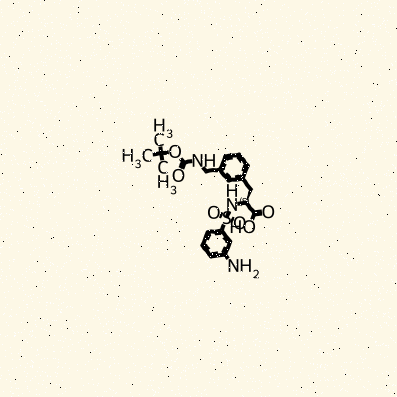 CC(C)(C)OC(=O)NCc1cccc(C[C@H](NS(=O)(=O)c2cccc(N)c2)C(=O)O)c1